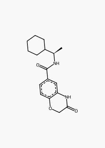 C[C@@H](NC(=O)c1ccc2c(c1)NC(=O)CO2)C1CCCCC1